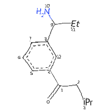 C=C(CC(C)C)c1cccc(C(N)CC)c1